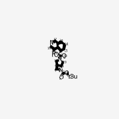 CC(C)(C)OC(=O)N1CC2CN(S(=O)(=O)c3cccc4cncc(F)c34)CC21